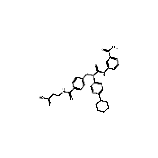 CC(=O)c1cccc(NC(=O)N(Cc2ccc(C(=O)NCCC(=O)O)cc2)c2ccc(C3CCCCC3)cc2)c1